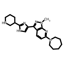 Cn1nc(-c2c[nH]c(C3CCCNC3)n2)c2ccc(N3CCCCCC3)nc21